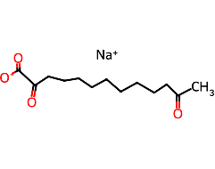 CC(=O)CCCCCCCCCC(=O)C(=O)[O-].[Na+]